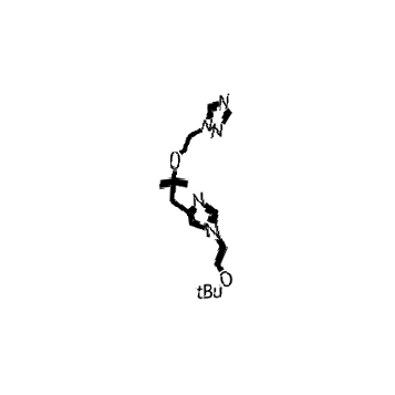 CC(C)(C)OCCn1cnc(CC(C)(C)OCCn2cncn2)c1